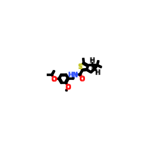 COc1cc(OC(C)C)ccc1CNC(=O)c1sc(C)c2c1C[C@@H]1[C@H]2C1(C)C